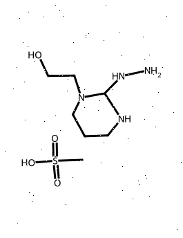 CS(=O)(=O)O.NNC1NCCCN1CCO